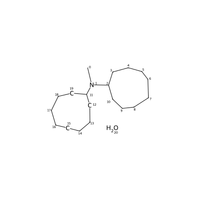 CN(C1CCCCCCCC1)C1CCCCCCCC1.O